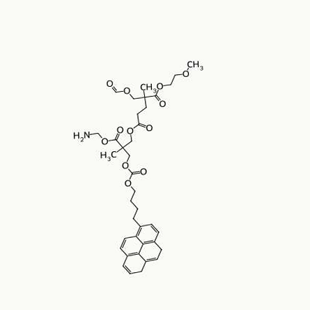 COCCOC(=O)C(C)(CCC(=O)OCC(C)(COC(=O)OCCCCc1ccc2c3c4c(ccc13)C=CCC4=CC2)C(=O)OCN)COC=O